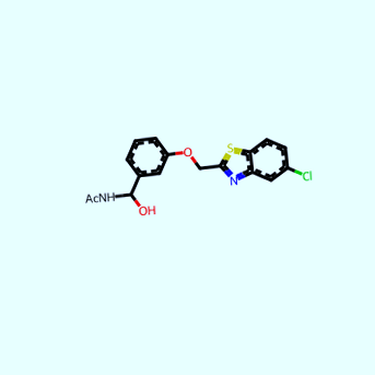 CC(=O)NC(O)c1cccc(OCc2nc3cc(Cl)ccc3s2)c1